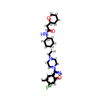 Cc1cc2c(N3CCN(CC[C@H]4CC[C@H](NC(=O)CC5CCCCO5)CC4)CC3)noc2cc1F